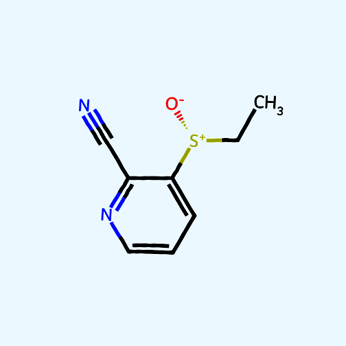 CC[S@@+]([O-])c1cccnc1C#N